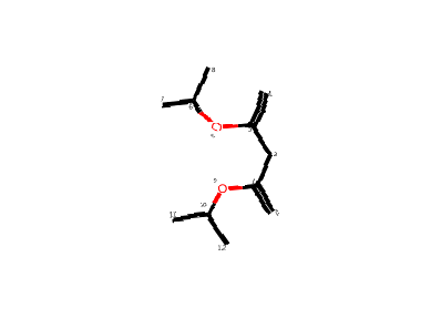 C=C(CC(=C)OC(C)C)OC(C)C